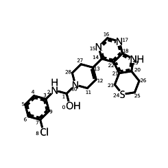 OC(Nc1cccc(Cl)c1)N1CC=C(c2ncnc3[nH]c4c(c23)CSCC4)CC1